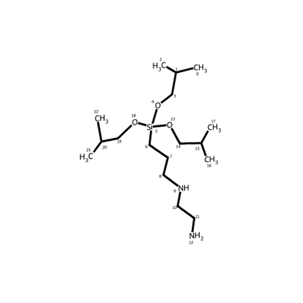 CC(C)CO[Si](CCCNCCN)(OCC(C)C)OCC(C)C